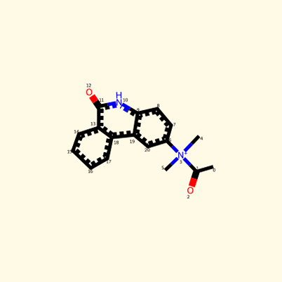 CC(=O)[N+](C)(C)c1ccc2[nH]c(=O)c3ccccc3c2c1